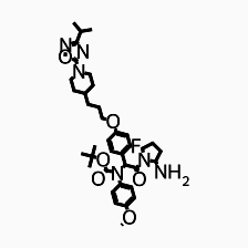 COc1ccc(N(C(=O)OC(C)(C)C)C(C(=O)N2CCCC2N)c2ccc(OCCCC3CCN(c4nc(C(C)C)no4)CC3)cc2F)cc1